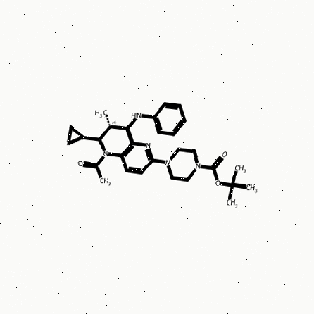 CC(=O)N1c2ccc(N3CCN(C(=O)OC(C)(C)C)CC3)nc2C(Nc2ccccc2)[C@@H](C)C1C1CC1